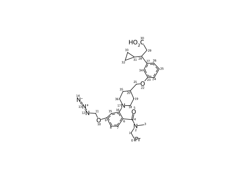 CC(C)CN(C)C(=O)c1ccc(OCN=[N+]=[N-])cc1N1CCC(COc2cccc(C(CC(=O)O)C3CC3)c2)CC1